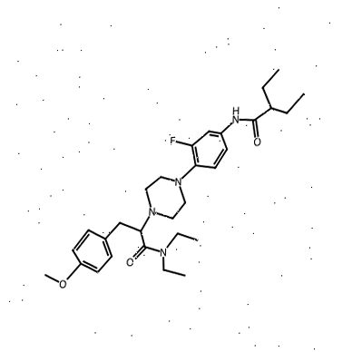 CCC(CC)C(=O)Nc1ccc(N2CCN(C(Cc3ccc(OC)cc3)C(=O)N(CC)CC)CC2)c(F)c1